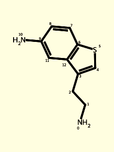 NCCc1csc2ccc(N)cc12